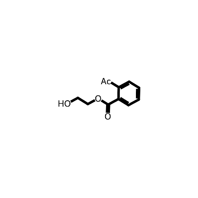 CC(=O)c1ccccc1C(=O)OCCO